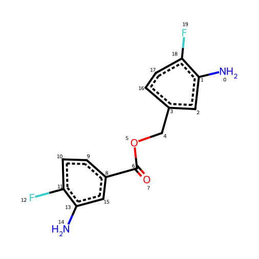 Nc1cc(COC(=O)c2ccc(F)c(N)c2)ccc1F